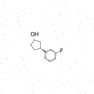 O[C@H]1CC[C@H](c2cccc(F)c2)C1